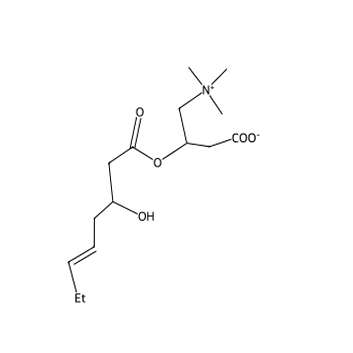 CCC=CCC(O)CC(=O)OC(CC(=O)[O-])C[N+](C)(C)C